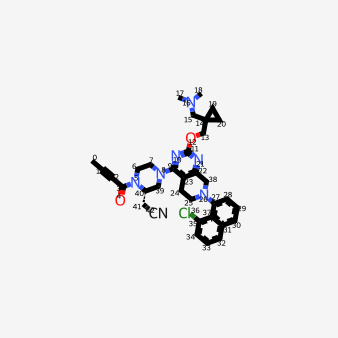 CC#CC(=O)N1CCN(c2nc(OCC3(CN(C)C)CC3)nc3c2CCN(c2cccc4cccc(Cl)c24)C3)C[C@@H]1CC#N